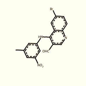 Cc1cc(Nc2c(C=O)cnc3ccc(Br)cc23)cc([N+](=O)[O-])c1